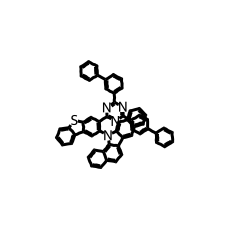 c1ccc(-c2ccc(-c3nc(-c4cccc(-c5ccccc5)c4)nc(-c4cc5sc6ccccc6c5cc4-n4c5cc6ccccc6cc5c5ccc6ccccc6c54)n3)cc2)cc1